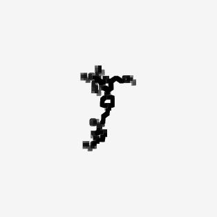 CCCc1cc(N2CCN(CCC[S@@+]([O-])c3ncn(C)n3)CC2)nc(C(C)(C)C)n1